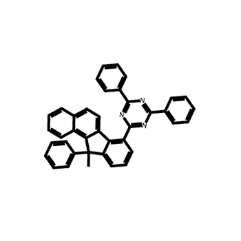 CC1(c2ccccc2)c2cccc(-c3nc(-c4ccccc4)nc(-c4ccccc4)n3)c2-c2ccc3ccccc3c21